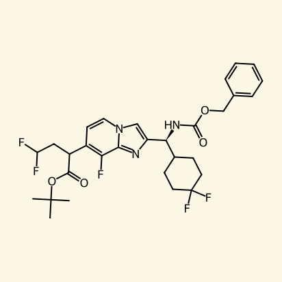 CC(C)(C)OC(=O)C(CC(F)F)c1ccn2cc([C@@H](NC(=O)OCc3ccccc3)C3CCC(F)(F)CC3)nc2c1F